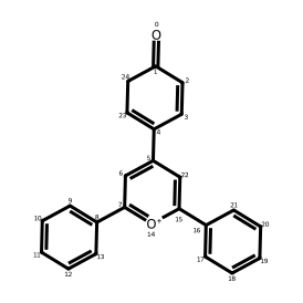 O=C1C=CC(c2cc(-c3ccccc3)[o+]c(-c3ccccc3)c2)=CC1